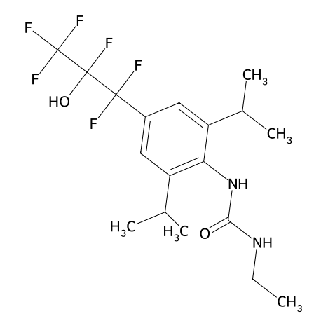 CCNC(=O)Nc1c(C(C)C)cc(C(F)(F)C(O)(F)C(F)(F)F)cc1C(C)C